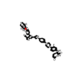 N#Cc1cnn2cc(-c3cnn(C4CCC(N5CCN(c6ccc(NC7CCC(=O)NC7=O)cc6F)CC5)CC4)c3)nc(-c3ccc(N4C[C@H]5COC[C@@H](C4)N5C(=O)O)nc3)c12